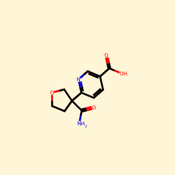 NC(=O)C1(c2ccc(C(=O)O)cn2)CCOC1